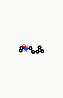 c1cc(-c2cccc(-c3cnc4c(n3)oc3ccc5ccccc5c34)c2)cc(-c2ccc3c4ccccc4c4ccccc4c3c2)c1